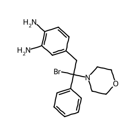 Nc1ccc(CC(Br)(c2ccccc2)N2CCOCC2)cc1N